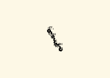 O=C(Cc1cc(OC(F)(F)F)ccc1F)Nc1cn(CCC(F)Cn2cc(C(O)NCc3ccccn3)nn2)nn1